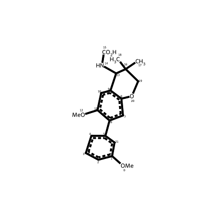 COc1cccc(-c2cc3c(cc2OC)C(NC(=O)O)C(C)(C)CO3)c1